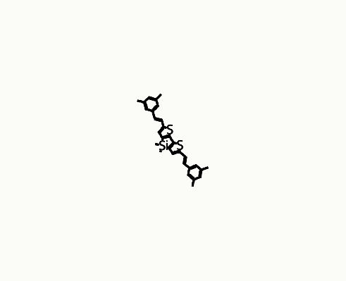 Cc1cc(C)cc(/C=C/c2cc3c(s2)-c2sc(/C=C/c4cc(C)cc(C)c4)cc2[Si]3(C)C)c1